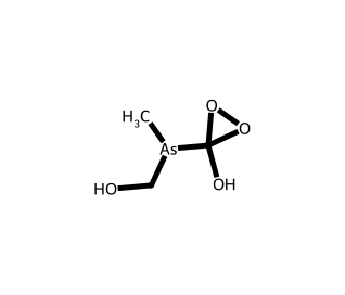 C[As](CO)C1(O)OO1